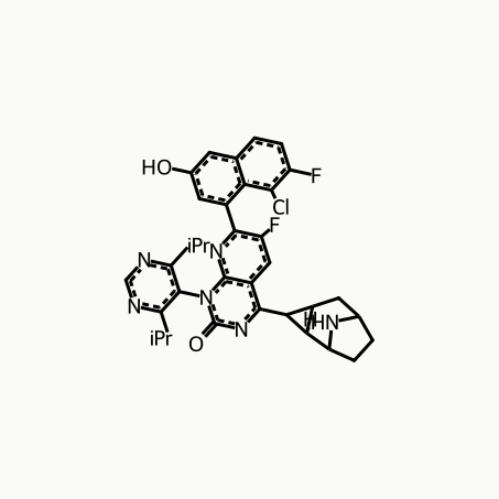 CC(C)c1ncnc(C(C)C)c1-n1c(=O)nc(C2C3CC4CCC(N4)[C@H]32)c2cc(F)c(-c3cc(O)cc4ccc(F)c(Cl)c34)nc21